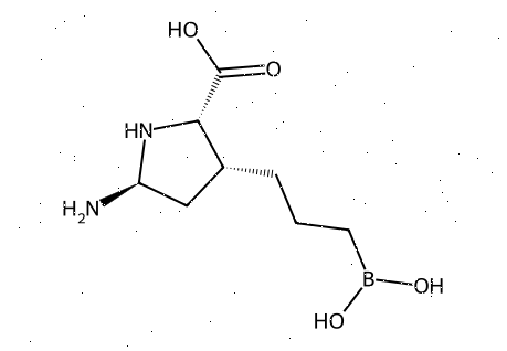 N[C@@H]1C[C@@H](CCCB(O)O)[C@@H](C(=O)O)N1